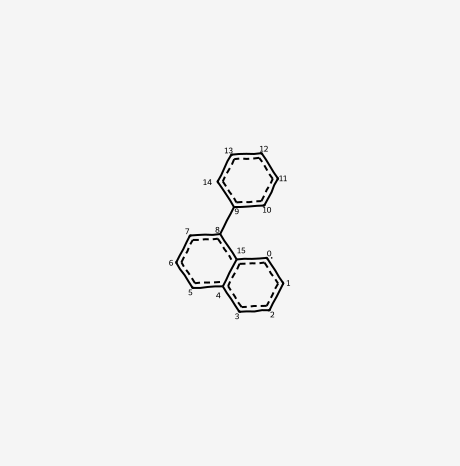 [c]1cccc2cccc(-c3ccccc3)c12